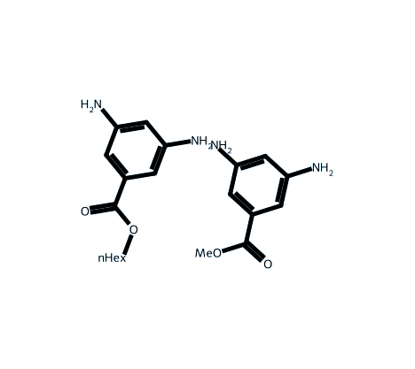 CCCCCCOC(=O)c1cc(N)cc(N)c1.COC(=O)c1cc(N)cc(N)c1